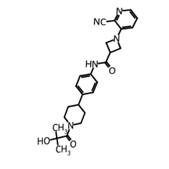 CC(C)(O)C(=O)N1CCC(c2ccc(NC(=O)C3CN(c4cccnc4C#N)C3)cc2)CC1